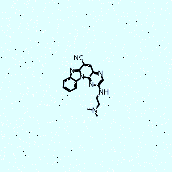 CN(C)CCNc1cnc2cc(C#N)c3nc4ccccc4n3c2n1